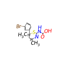 C[C@@H]1C[C@@](C)(c2cccc(Br)c2)SC(NC(=O)O)=N1